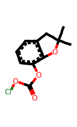 CC1(C)Cc2cccc(OC(=O)OCl)c2O1